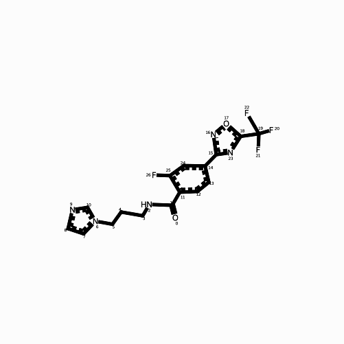 O=C(NCCCn1ccnc1)c1ccc(-c2noc(C(F)(F)F)n2)cc1F